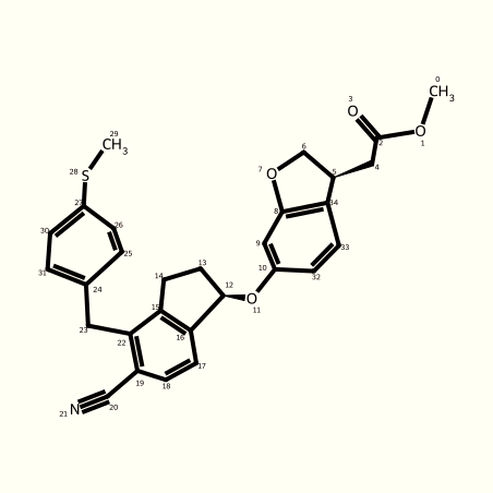 COC(=O)C[C@@H]1COc2cc(O[C@@H]3CCc4c3ccc(C#N)c4Cc3ccc(SC)cc3)ccc21